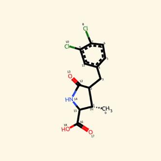 C[C@H]1C(Cc2ccc(Cl)c(Cl)c2)C(=O)NC1C(=O)O